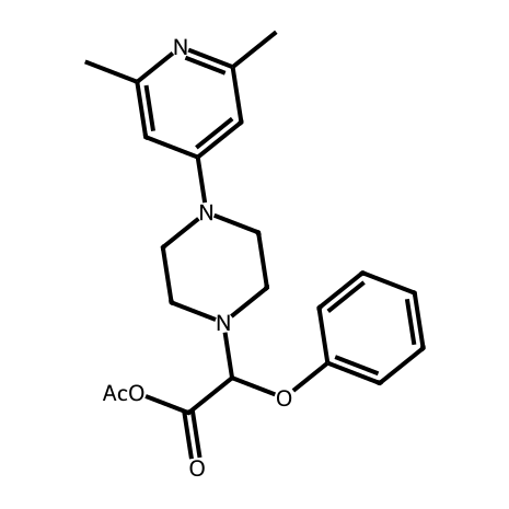 CC(=O)OC(=O)C(Oc1ccccc1)N1CCN(c2cc(C)nc(C)c2)CC1